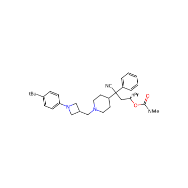 CCC[C@H](CC(C#N)(c1ccccc1)C1CCN(CC2CN(c3ccc(C(C)(C)C)cc3)C2)CC1)OC(=O)NC